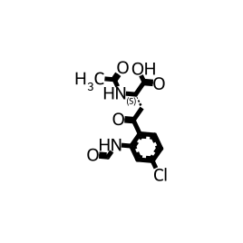 CC(=O)N[C@@H](CC(=O)c1ccc(Cl)cc1NC=O)C(=O)O